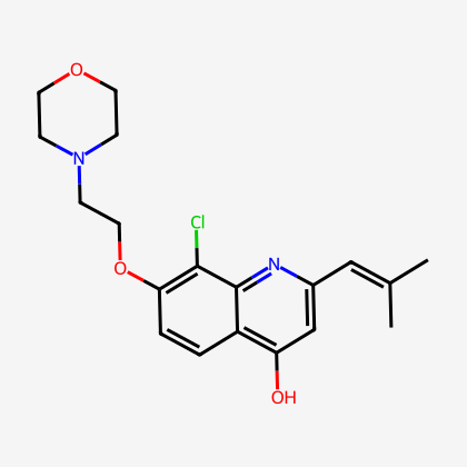 CC(C)=Cc1cc(O)c2ccc(OCCN3CCOCC3)c(Cl)c2n1